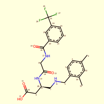 Cc1ccc(CNC[C@@H](CC(=O)O)NC(=O)CNC(=O)c2cccc(C(F)(F)F)c2)c(C)c1